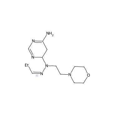 CC/C=N\N(CCN1CCOCC1)C1CC(N)=NC=N1